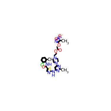 Cc1nc(Nc2ncc(C(=O)Nc3c(C)cccc3Cl)s2)cc(N2CCN(CCOC(=O)COc3no[n+]([O-])c3C)CC2)n1